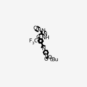 CC(C)(C)OC(=O)N1CCC(N2CC(c3cc4c(c(C(F)(F)F)c3)OCc3c(ncnc3N3CCOCC3)N4)C2)CC1